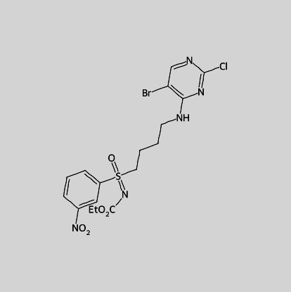 CCOC(=O)N=S(=O)(CCCCNc1nc(Cl)ncc1Br)c1cccc([N+](=O)[O-])c1